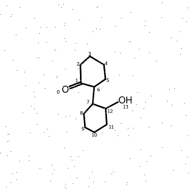 O=C1CCCCC1C1CCCCC1O